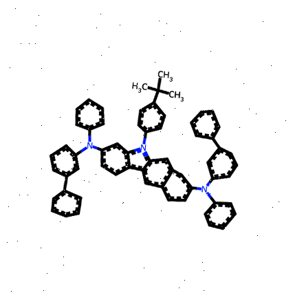 CC(C)(C)c1ccc(-n2c3cc(N(c4ccccc4)c4cccc(-c5ccccc5)c4)ccc3c3cc4ccc(N(c5ccccc5)c5cccc(-c6ccccc6)c5)cc4cc32)cc1